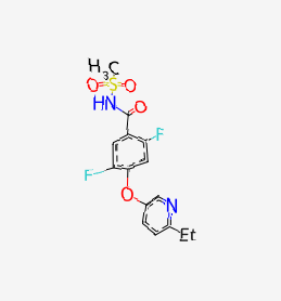 CCc1ccc(Oc2cc(F)c(C(=O)NS(C)(=O)=O)cc2F)cn1